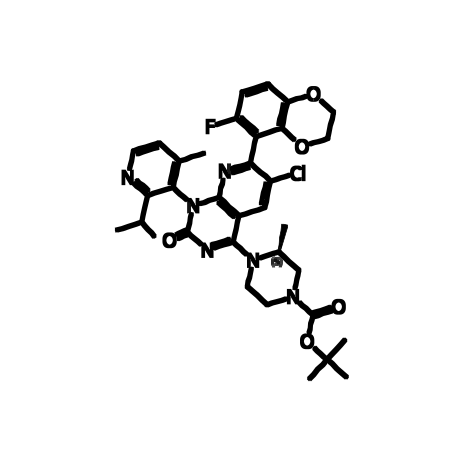 Cc1ccnc(C(C)C)c1-n1c(=O)nc(N2CCN(C(=O)OC(C)(C)C)C[C@@H]2C)c2cc(Cl)c(-c3c(F)ccc4c3OCCO4)nc21